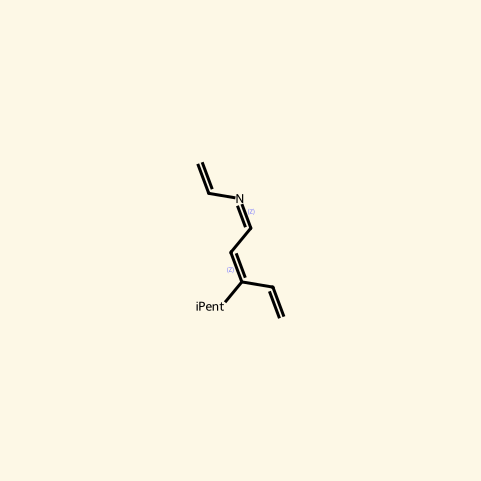 C=C/N=C\C=C(/C=C)C(C)CCC